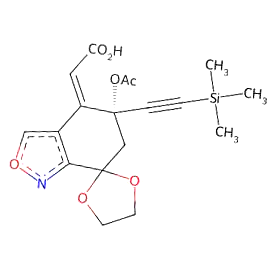 CC(=O)O[C@]1(C#C[Si](C)(C)C)CC2(OCCO2)c2nocc2C1=CC(=O)O